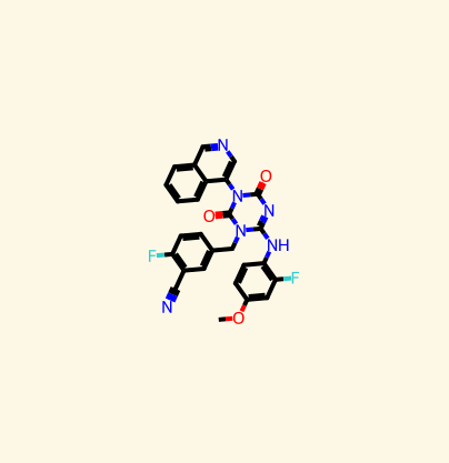 COc1ccc(Nc2nc(=O)n(-c3cncc4ccccc34)c(=O)n2Cc2ccc(F)c(C#N)c2)c(F)c1